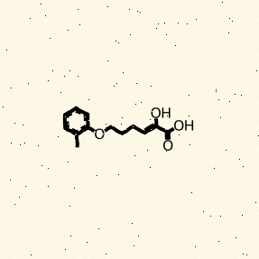 Cc1ccccc1OCCCC=C(O)C(=O)O